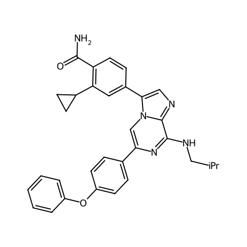 CC(C)CNc1nc(-c2ccc(Oc3ccccc3)cc2)cn2c(-c3ccc(C(N)=O)c(C4CC4)c3)cnc12